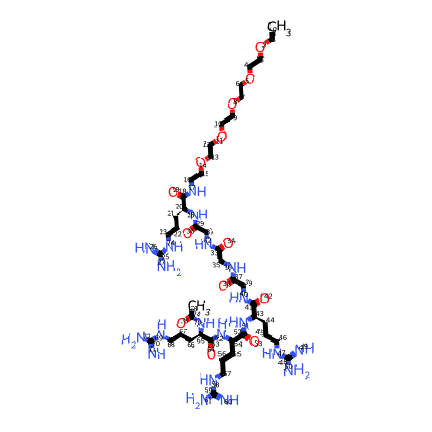 CCOCCOCCOCCOCCOCCNC(=O)[C@@H](CCCNC(=N)N)NC(=O)CNC(=O)CNC(=O)CNC(=O)[C@@H](CCCNC(=N)N)NC(=O)C(CCCNC(=N)N)NC(=O)[C@@H](CCCNC(=N)N)NC(C)=O